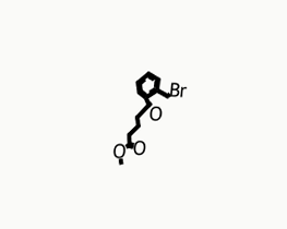 COC(=O)CCCC(=O)c1ccccc1CBr